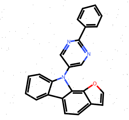 c1ccc(-c2ncc(-n3c4ccccc4c4ccc5ccoc5c43)cn2)cc1